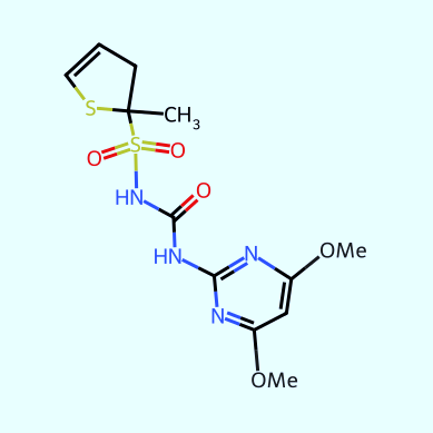 COc1cc(OC)nc(NC(=O)NS(=O)(=O)C2(C)CC=CS2)n1